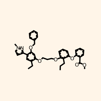 CCCc1c(OCCCOc2cc(OCc3ccccc3)c(-c3ccn(C)n3)cc2CC)cccc1Oc1ccccc1C(=O)OC